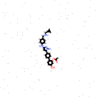 CC(=O)Oc1cc(O)ccc1-c1ccc(-c2cc(Nc3ccc(CNCC4CC4)cc3)n[nH]2)cc1